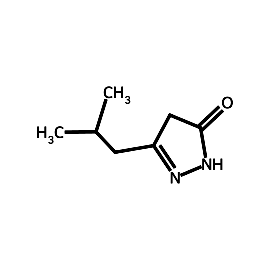 CC(C)CC1=NNC(=O)C1